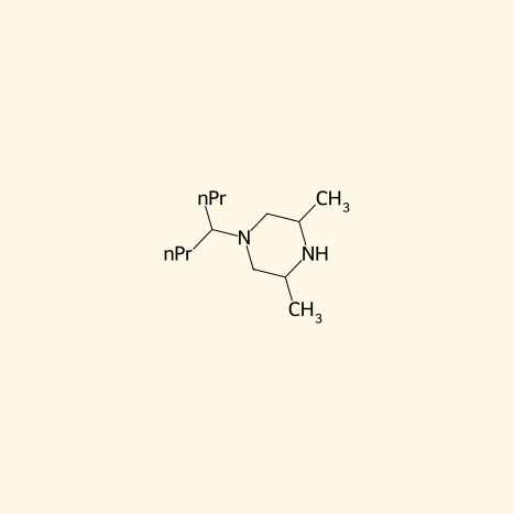 CCCC(CCC)N1CC(C)NC(C)C1